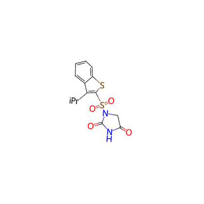 CC(C)c1c(S(=O)(=O)N2CC(=O)NC2=O)sc2ccccc12